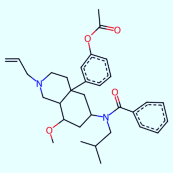 C=CCN1CCC2(c3cccc(OC(C)=O)c3)CC(N(CC(C)C)C(=O)c3ccccc3)CC(OC)C2C1